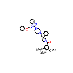 COc1cc(C(=O)N2CCC(CCN3CCCN(c4nc5ccccc5n4CCOc4ccccc4)CC3)(c3ccccc3)C2)cc(OC)c1OC